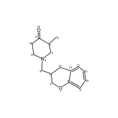 CC1CN(CC2COc3ccccc3C2)CCC1=O